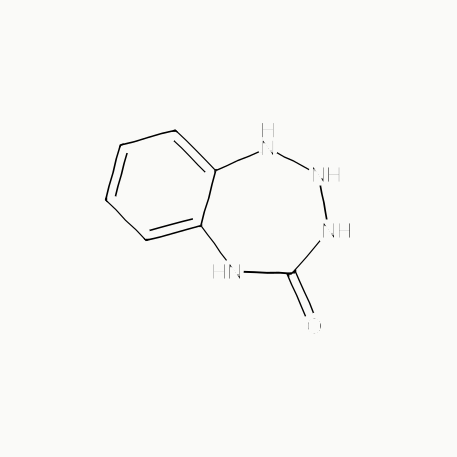 O=c1[nH][nH][nH]c2ccccc2[nH]1